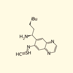 C#[SH]=Nc1cc2nccnc2cc1[C@@H](N)CC[C@H](C)CC